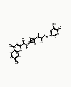 O=C(COc1ccc(Cl)c(F)c1)NC12CC(NC(=O)c3cc(=O)c4ccc(O)cc4o3)(C1)C2